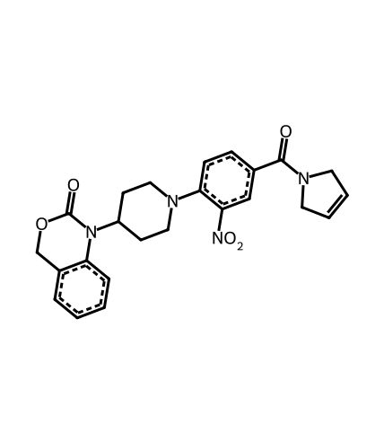 O=C(c1ccc(N2CCC(N3C(=O)OCc4ccccc43)CC2)c([N+](=O)[O-])c1)N1CC=CC1